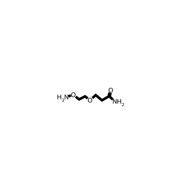 NOCCOCCC(N)=O